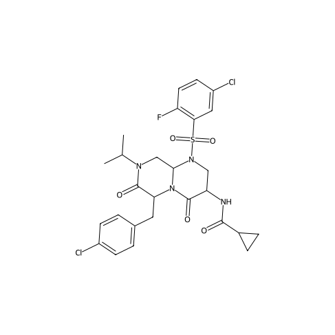 CC(C)N1CC2N(C(=O)C(NC(=O)C3CC3)CN2S(=O)(=O)c2cc(Cl)ccc2F)C(Cc2ccc(Cl)cc2)C1=O